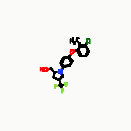 Cc1c(Cl)cccc1Oc1ccc(N2C[C@@H](C(F)(F)F)C[C@H]2CO)cc1